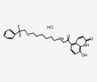 Cl.O=C(CNCCCCCCOCC(F)(F)c1ccccc1)c1ccc(O)c2[nH]c(=O)ccc12